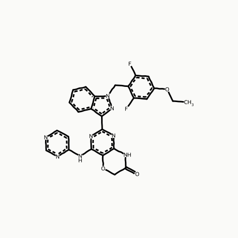 CCOc1cc(F)c(Cn2nc(-c3nc4c(c(Nc5ccncn5)n3)OCC(=O)N4)c3ccccc32)c(F)c1